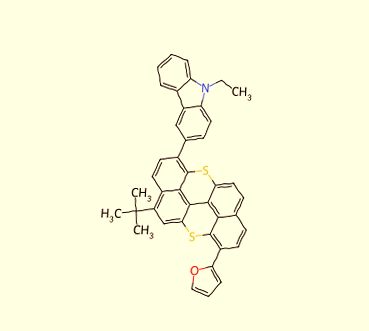 CCn1c2ccccc2c2cc(-c3ccc4c(C(C)(C)C)cc5sc6c(-c7ccco7)ccc7ccc8sc3c4c5-c8c76)ccc21